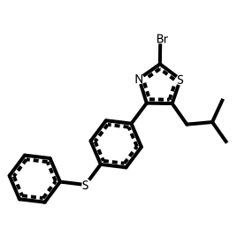 CC(C)Cc1sc(Br)nc1-c1ccc(Sc2ccccc2)cc1